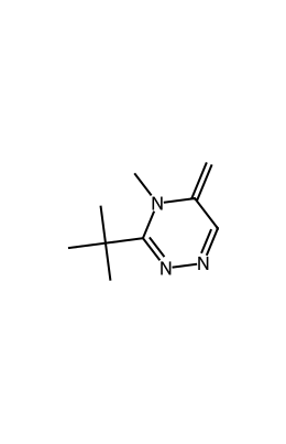 C=C1C=NN=C(C(C)(C)C)N1C